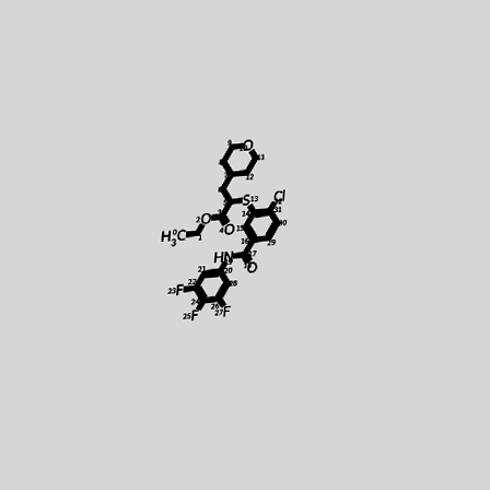 CCOC(=O)C(CC1CCOCC1)Sc1cc(C(=O)Nc2cc(F)c(F)c(F)c2)ccc1Cl